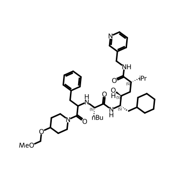 CCCC[C@H](NC(Cc1ccccc1)C(=O)N1CCC(OCOC)CC1)C(=O)N[C@@H](CC1CCCCC1)[C@@H](O)C[C@H](C(=O)NCc1cccnc1)C(C)C